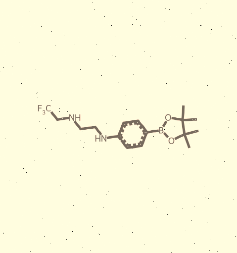 CC1(C)OB(c2ccc(NCCNCC(F)(F)F)cc2)OC1(C)C